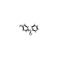 [O-][S+](c1ccccc1)c1ccc(F)cc1